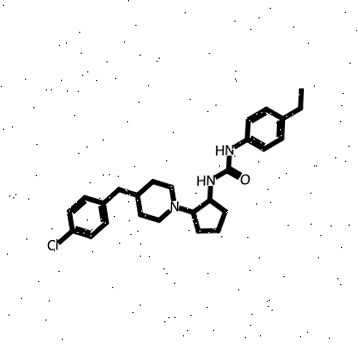 CCc1ccc(NC(=O)NC2CCCC2N2CCC(Cc3ccc(Cl)cc3)CC2)cc1